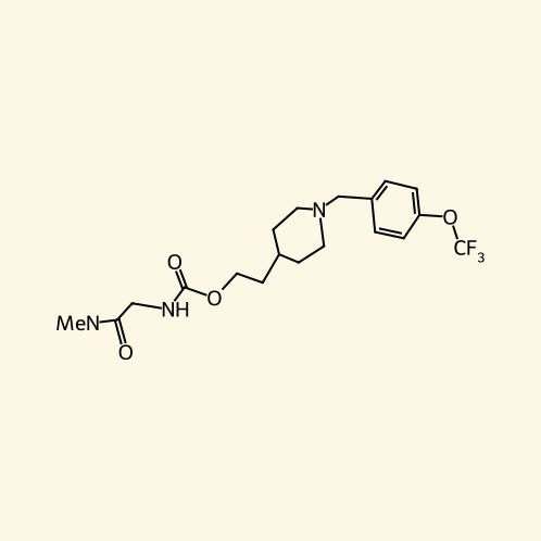 CNC(=O)CNC(=O)OCCC1CCN(Cc2ccc(OC(F)(F)F)cc2)CC1